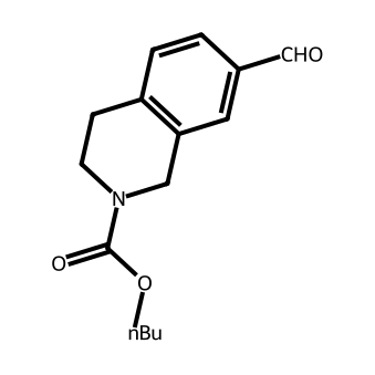 CCCCOC(=O)N1CCc2ccc(C=O)cc2C1